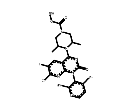 CC(C)c1ccnc(C(C)C)c1-n1c(=O)nc(N2C(C)CN(C(=O)OC(C)(C)C)CC2C)c2cc(F)c(Cl)nc21